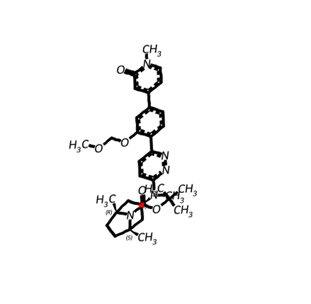 COCOc1cc(-c2ccn(C)c(=O)c2)ccc1-c1ccc(N(C)[C@H]2C[C@]3(C)CC[C@](C)(C2)N3C(=O)OC(C)(C)C)nn1